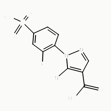 CS(=O)(=O)c1ccc(-n2ncc(C(=O)O)c2N)c(F)c1